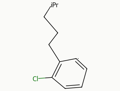 CC(C)CCCc1[c]cccc1Cl